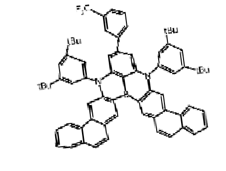 CC(C)(C)c1cc(N2c3cc4c(ccc5ccccc54)cc3B3c4cc5ccc6ccccc6c5cc4N(c4cc(C(C)(C)C)cc(C(C)(C)C)c4)c4cc(-c5cccc(C(F)(F)F)c5)cc2c43)cc(C(C)(C)C)c1